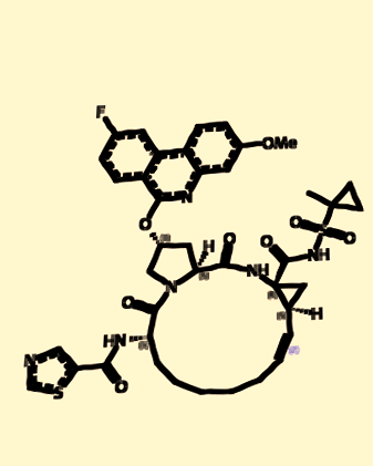 COc1ccc2c(c1)nc(O[C@@H]1C[C@H]3C(=O)N[C@]4(C(=O)NS(=O)(=O)C5(C)CC5)C[C@H]4/C=C\CCCCC[C@H](NC(=O)c4cncs4)C(=O)N3C1)c1ccc(F)cc12